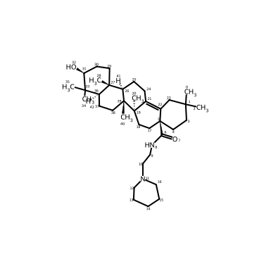 CC1(C)CC[C@]2(C(=O)NCCN3CCCCC3)CC[C@]3(C)C(=C2C1)CC[C@@H]1[C@@]2(C)CC[C@H](O)C(C)(C)[C@@H]2CC[C@]13C